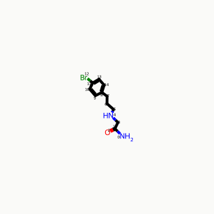 NC(=O)CNCCCc1ccc(Br)cc1